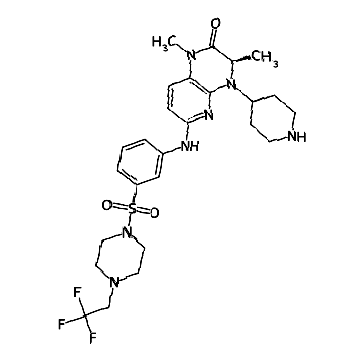 C[C@@H]1C(=O)N(C)c2ccc(Nc3cccc(S(=O)(=O)N4CCN(CC(F)(F)F)CC4)c3)nc2N1C1CCNCC1